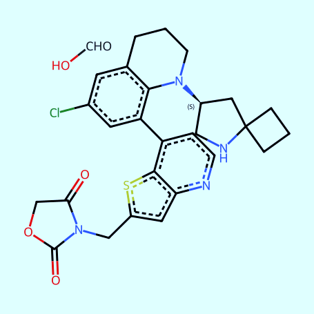 O=C1COC(=O)N1Cc1cc2nccc(-c3cc(Cl)cc4c3N([C@@H]3CNC5(CCC5)C3)CCC4)c2s1.O=CO